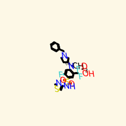 CN(c1cc(F)c(S(=O)(=O)Nc2cscn2)cc1C(F)F)[C@H]1CCN(Cc2ccccc2)C1.O=CO